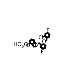 O=C(O)Oc1cccc2c1CCN2Cc1cc(F)ccc1OCc1ccc(F)cc1Cl